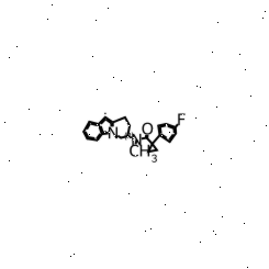 CN(C(=O)C1(c2ccc(F)cc2)CC1)[C@@H]1CCc2[c]c3ccccc3n2C1